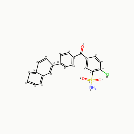 NS(=O)(=O)c1cc(C(=O)c2ccc(-c3ccc4ccccc4c3)cc2)ccc1Cl